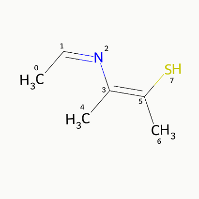 C/C=N\C(C)=C(\C)S